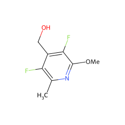 COc1nc(C)c(F)c(CO)c1F